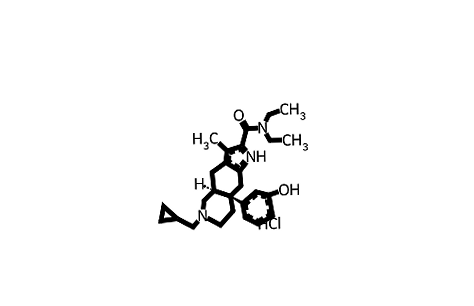 CCN(CC)C(=O)c1[nH]c2c(c1C)C[C@@H]1CN(CC3CC3)CC[C@@]1(c1cccc(O)c1)C2.Cl